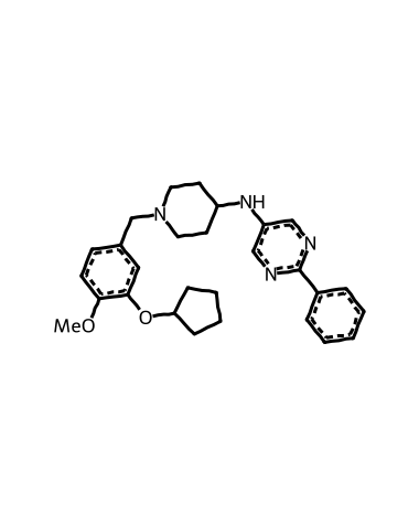 COc1ccc(CN2CCC(Nc3cnc(-c4ccccc4)nc3)CC2)cc1OC1CCCC1